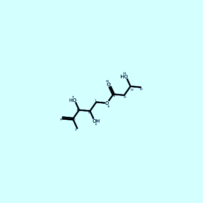 C=C(C)C(O)C(O)COC(=O)CC(C)O